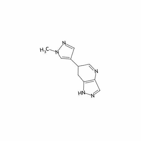 Cn1cc(C2C=Nc3cn[nH]c3C2)cn1